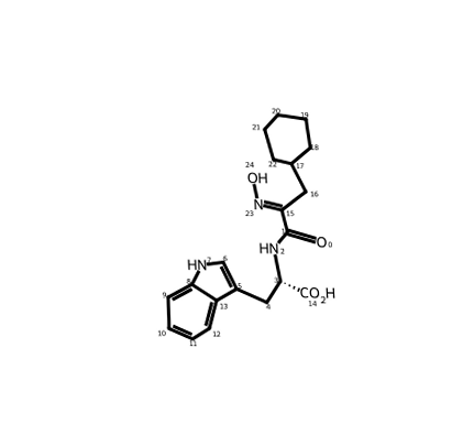 O=C(N[C@@H](Cc1c[nH]c2ccccc12)C(=O)O)C(CC1CCCCC1)=NO